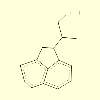 CC(CC(=O)O)C1Cc2cccc3cccc1c23